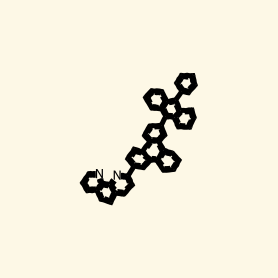 c1ccc(-c2c3ccccc3c(-c3ccc4c5ccc(-c6ccc7ccc8cccnc8c7n6)cc5c5ccccc5c4c3)c3ccccc23)cc1